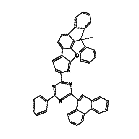 CC1(c2ccccc2)c2ccccc2-c2ccc3c(oc4nc(-c5nc(-c6ccccc6)nc(-c6cc7ccccc7c7ccccc67)n5)ccc43)c21